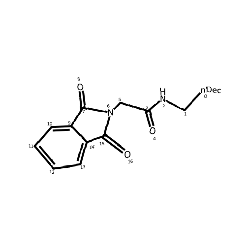 CCCCCCCCCCCNC(=O)CN1C(=O)c2ccccc2C1=O